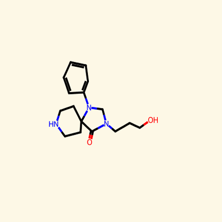 O=C1N(CCCO)CN(c2ccccc2)C12CCNCC2